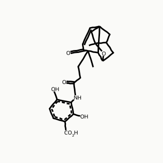 CC12CC34C=CC(=O)C(C)(CCC(=O)Nc5c(O)ccc(C(=O)O)c5O)C3C(CC1C4)O2